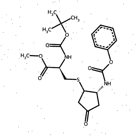 COC(=O)[C@H](CSC1CC(=O)C[C@H]1NC(=O)Oc1ccccc1)NC(=O)OC(C)(C)C